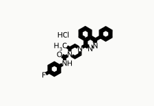 CC1CN(c2nnc(-c3ccccc3)c3ccccc23)CCN1C(=O)Nc1ccc(F)cc1.Cl